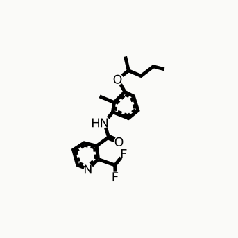 CCCC(C)Oc1cccc(NC(=O)c2cccnc2C(F)F)c1C